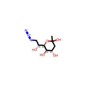 CC1(O)C[C@H](O)[C@@H](O)[C@@H]([C@H](O)CN=[N+]=[N-])O1